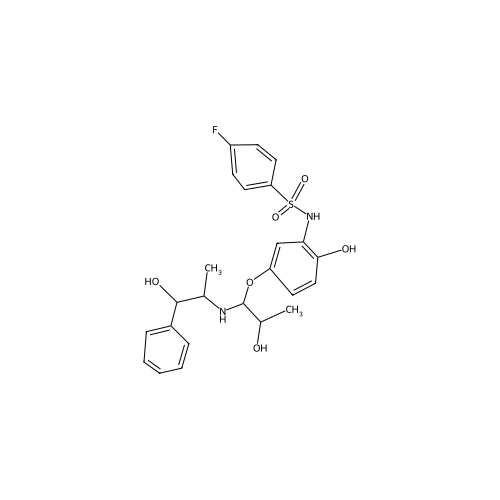 CC(O)C(NC(C)C(O)c1ccccc1)Oc1ccc(O)c(NS(=O)(=O)c2ccc(F)cc2)c1